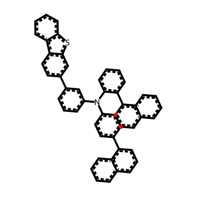 c1cc(-c2ccc3c(c2)sc2ccccc23)cc(N(c2ccc(-c3cccc4ccccc34)cc2)c2ccccc2-c2cccc3ccccc23)c1